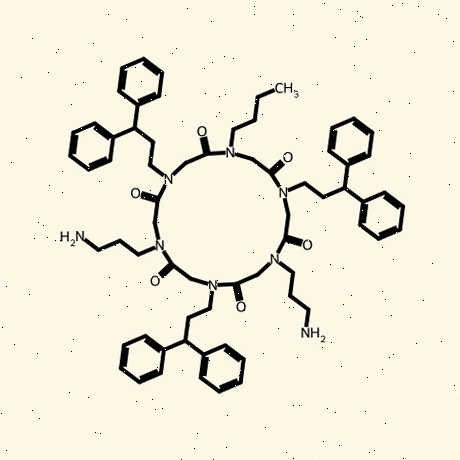 CCCCN1CC(=O)N(CCC(c2ccccc2)c2ccccc2)CC(=O)N(CCCN)CC(=O)N(CCC(c2ccccc2)c2ccccc2)CC(=O)N(CCCN)CC(=O)N(CCC(c2ccccc2)c2ccccc2)CC1=O